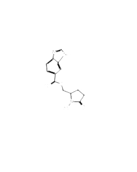 CCN1C(=O)CCC1COC(=O)c1ccc2nc[nH]c2c1